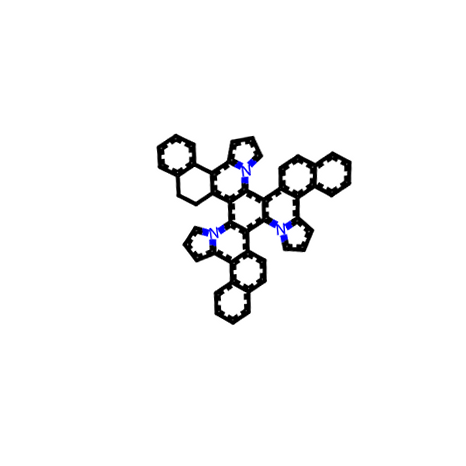 c1ccc2c(c1)CCc1c-2c2cccn2c2c1c1c(c3ccc4ccccc4c3c3cccn31)c1c2c2ccc3ccccc3c2c2cccn21